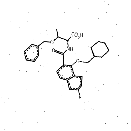 CC(OCc1ccccc1)C(NC(=O)c1ccc2cc(F)ccc2c1OCC1CCCCC1)C(=O)O